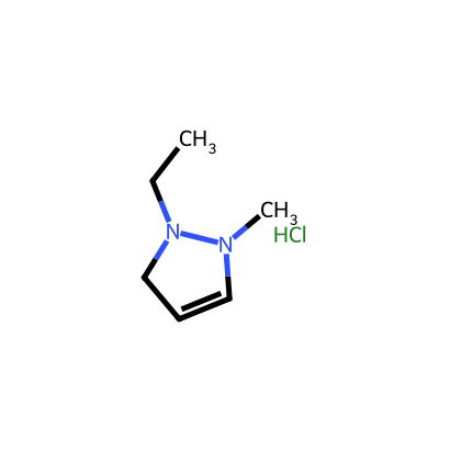 CCN1CC=CN1C.Cl